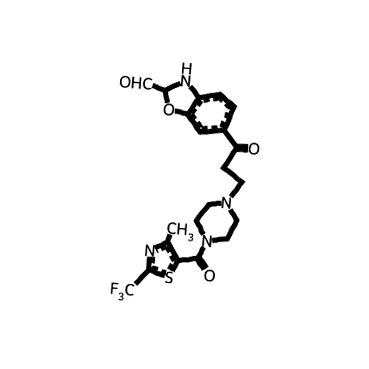 Cc1nc(C(F)(F)F)sc1C(=O)N1CCN(CCC(=O)c2ccc3c(c2)OC(C=O)N3)CC1